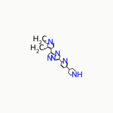 C=Cc1nccc(-c2cnn3cc(-c4ccc(C5CCNCC5)cn4)cnc23)c1C=C